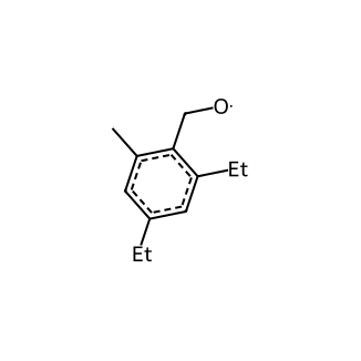 CCc1cc(C)c(C[O])c(CC)c1